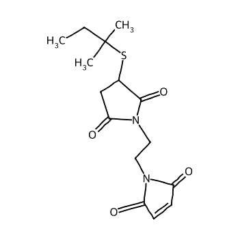 CCC(C)(C)SC1CC(=O)N(CCN2C(=O)C=CC2=O)C1=O